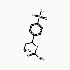 CCS(=O)(=O)c1ccc(C(CNC(C)=O)OC(N)=O)cc1